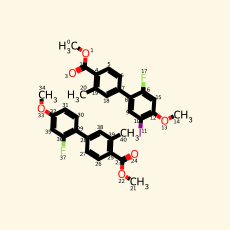 COC(=O)c1ccc(-c2cc(I)c(OC)cc2F)cc1C.COC(=O)c1ccc(-c2ccc(OC)cc2F)cc1C